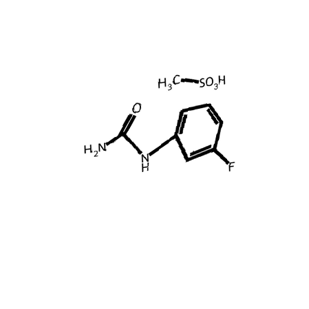 CS(=O)(=O)O.NC(=O)Nc1cccc(F)c1